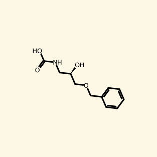 O=C(O)NC[C@@H](O)COCc1ccccc1